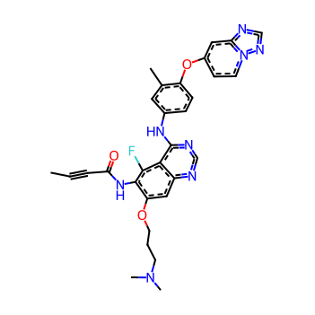 CC#CC(=O)Nc1c(OCCCN(C)C)cc2ncnc(Nc3ccc(Oc4ccn5ncnc5c4)c(C)c3)c2c1F